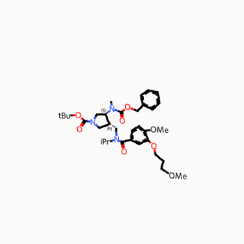 COCCCOc1cc(C(=O)N(C[C@@H]2CN(C(=O)OC(C)(C)C)C[C@H]2N(C)C(=O)OCc2ccccc2)C(C)C)ccc1OC